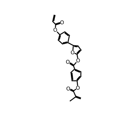 C=CC(=O)Oc1ccc(-c2ccc(OC(=O)c3ccc(OC(=O)C(=C)C)cc3)o2)cc1